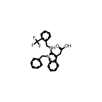 O=C(O)Cc1c(NCc2ccccc2C(F)(F)F)n(Cc2ccccc2)c2ccccc12